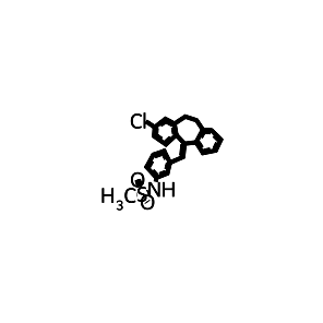 CS(=O)(=O)Nc1cccc(/C=C2/c3ccccc3CCc3cc(Cl)ccc32)c1